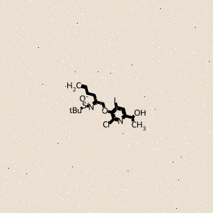 C=CCCC(COc1c(I)cc(C(C)O)nc1Cl)=N[S+]([O-])C(C)(C)C